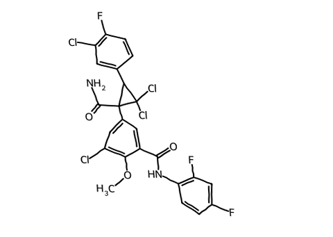 COc1c(Cl)cc(C2(C(N)=O)C(c3ccc(F)c(Cl)c3)C2(Cl)Cl)cc1C(=O)Nc1ccc(F)cc1F